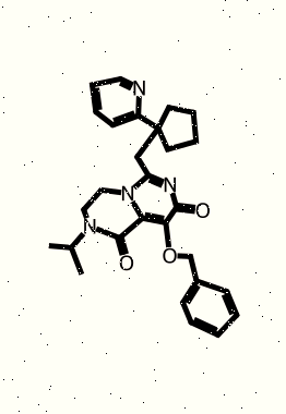 CC(C)N1CCn2c(CC3(c4ccccn4)CCCC3)nc(=O)c(OCc3ccccc3)c2C1=O